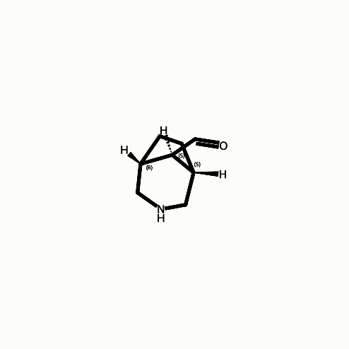 O=C[C@H]1[C@@H]2CC[C@H]1CNC2